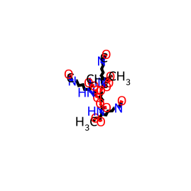 COC(=O)C(CCCCN=C=O)NC(=O)OCC(COC(=O)NC(CCCCN=C=O)C(=O)OC)OC(=O)NC(CCCCN=C=O)C(=O)OC